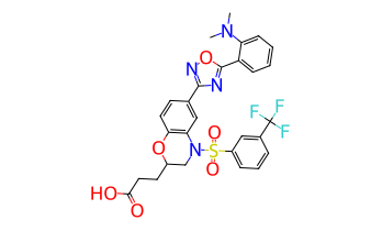 CN(C)c1ccccc1-c1nc(-c2ccc3c(c2)N(S(=O)(=O)c2cccc(C(F)(F)F)c2)CC(CCC(=O)O)O3)no1